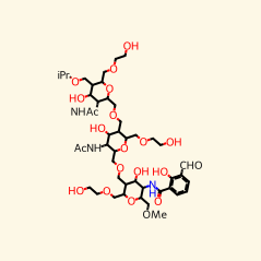 COCC1OC(COCCO)C(COCC2OC(COCCO)C(COCC3OC(COCCO)C(COC(C)C)C(O)C3NC(C)=O)C(O)C2NC(C)=O)C(O)C1NC(=O)c1cccc(C=O)c1O